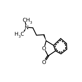 CN(C)CCC[C@@H]1OC(=O)c2ccccc21